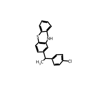 CC(c1ccc(Cl)cc1)c1ccc2c(c1)Nc1ccccc1S2